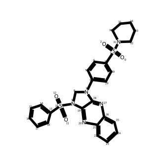 O=S(=O)(c1ccc(N2CN(S(=O)(=O)c3ccccc3)c3nc4ccccc4nc32)cc1)N1CCCCC1